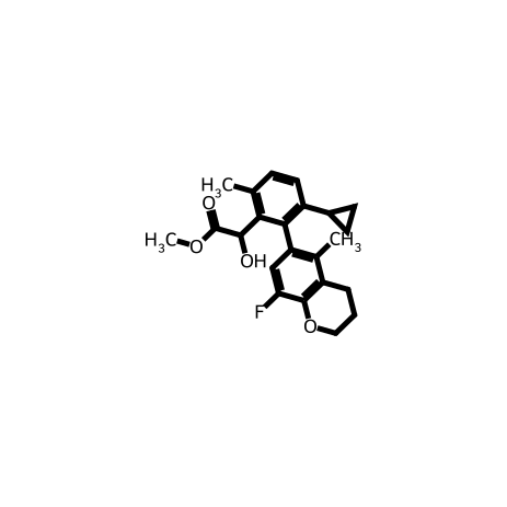 COC(=O)C(O)c1c(C)ccc(C2CC2)c1-c1cc(F)c2c(c1C)CCCO2